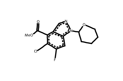 COC(=O)c1c(Cl)c(F)cc2c1cnn2C1CCCCO1